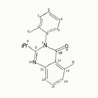 Cc1ccccc1-n1c(C(C)C)nc2cccc(C)c2c1=O